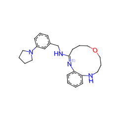 c1cc(CN/C2=N/c3ccccc3NCCCOCCC2)cc(N2CCCC2)c1